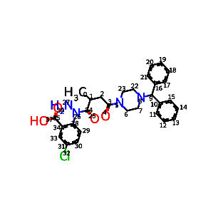 CC(CC(=O)N1CCN(C(c2ccccc2)c2ccccc2)CC1)C(=O)N(N)c1ccc(Cl)cc1C(=O)O